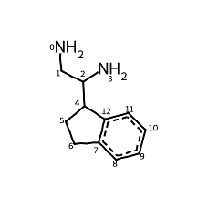 NCC(N)C1CCc2ccccc21